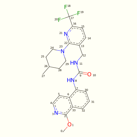 COc1nccc2c(NC(=O)NCc3ccc(C(F)(F)F)nc3N3CCC(C)CC3)cccc12